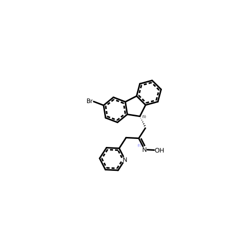 O/N=C(/Cc1ccccn1)C[C@H]1c2ccccc2-c2cc(Br)ccc21